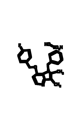 Cc1c(C)n(Cc2ccccc2)c2c(OCc3ccc(F)cc3)ccnc12.O=S(=O)(O)O